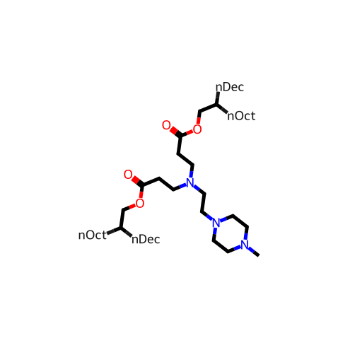 CCCCCCCCCCC(CCCCCCCC)COC(=O)CCN(CCC(=O)OCC(CCCCCCCC)CCCCCCCCCC)CCN1CCN(C)CC1